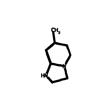 CC1CCN2CCNC2C1